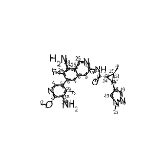 COc1ncc(-c2cc3cc(NC(=O)[C@@H]4[C@@H](C)[C@H]4c4cnn(C)c4)ncc3c(N)c2F)c(C)c1N